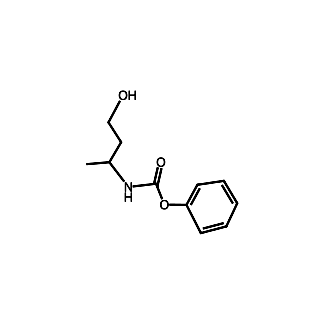 CC(CCO)NC(=O)Oc1ccccc1